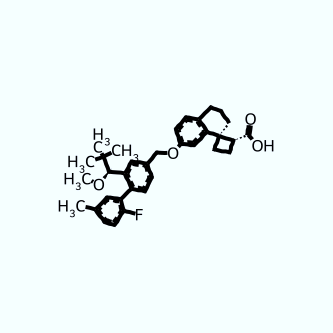 CO[C@H](c1cc(COc2ccc3c(c2)[C@]2(CCC3)CC[C@H]2C(=O)O)ccc1-c1cc(C)ccc1F)C(C)(C)C